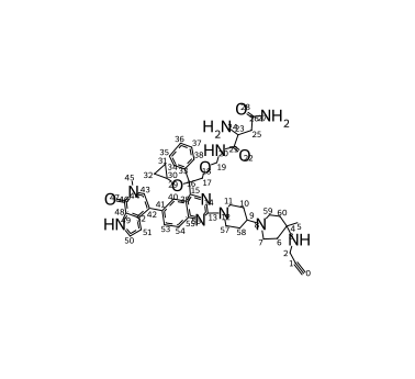 C#CCNC1(C)CCN(C2CCN(c3nc(C(COCNC(=O)C(N)CC(N)=O)(OC4CC4)c4ccccc4)c4cc(-c5cn(C)c(=O)c6[nH]ccc56)ccc4n3)CC2)CC1